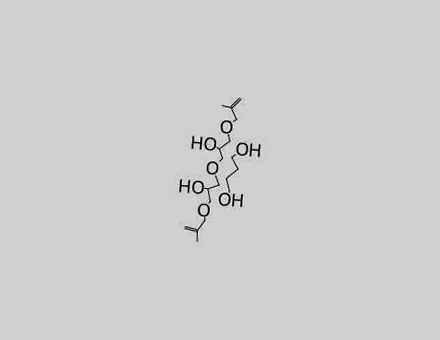 C=C(C)COCC(O)COCC(O)COCC(=C)C.OCCCCO